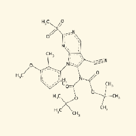 COc1ccc(C)c(-n2c(N(C(=O)OC(C)(C)C)C(=O)OC(C)(C)C)c(C#N)c3cnc(S(C)(=O)=O)nc32)c1C